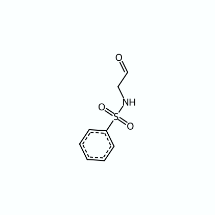 O=CCNS(=O)(=O)c1ccccc1